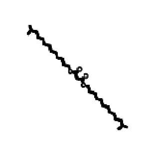 CC(C)CCCCCCCCCCCOC(=O)CC(=O)OCCCCCCCCCCCC(C)C